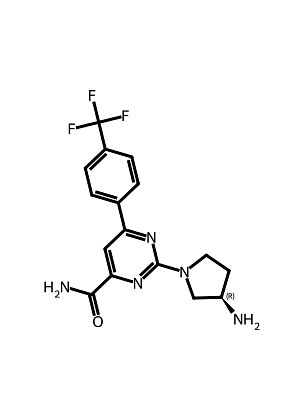 NC(=O)c1cc(-c2ccc(C(F)(F)F)cc2)nc(N2CC[C@@H](N)C2)n1